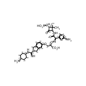 CC1(C)C(NC(=O)/C(=N\OC(COc2ccc3c(c2)CN(C(=N)NC2CCC(N)CC2)C3)C(=O)O)c2csc(N)n2)C(=O)N1OS(=O)(=O)O